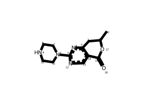 CC1Cc2nc(N3CCNCC3)ncc2C(=O)O1